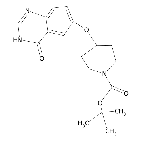 CC(C)(C)OC(=O)N1CCC(Oc2ccc3nc[nH]c(=O)c3c2)CC1